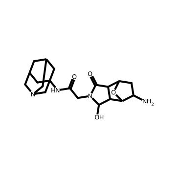 NC1CC2OC1C1C2C(=O)N(CC(=O)NC23CC4CC(CN(C4)C2)C3)C1O